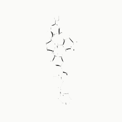 O=C(NCCN1CCOCC1)c1ccc(-c2ccc(-c3ccc(Cl)cc3)n2-c2cnccc2C(F)(F)F)cc1